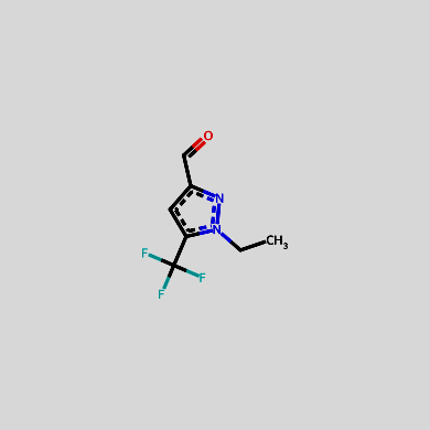 CCn1nc(C=O)cc1C(F)(F)F